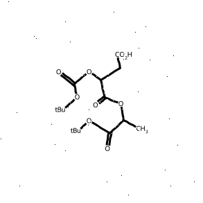 CC(OC(=O)C(CC(=O)O)OC(=O)OC(C)(C)C)C(=O)OC(C)(C)C